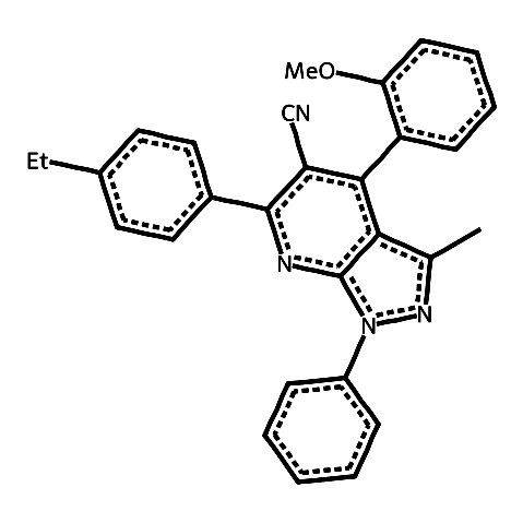 CCc1ccc(-c2nc3c(c(C)nn3-c3ccccc3)c(-c3ccccc3OC)c2C#N)cc1